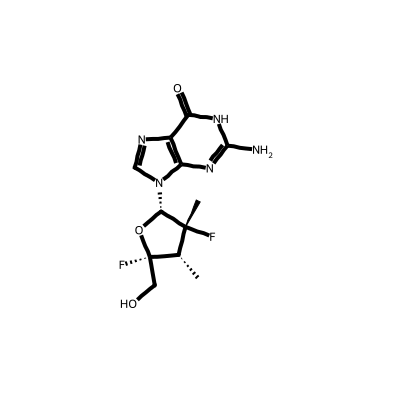 C[C@H]1[C@@](C)(F)[C@@H](n2cnc3c(=O)[nH]c(N)nc32)O[C@]1(F)CO